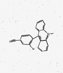 C[n+]1c2ccccc2c(-c2ccc(C#N)cc2Br)c2ccccc21